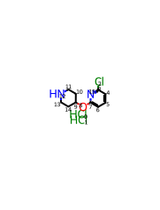 Cl.Cl.Clc1cccc(OC2CCNCC2)n1